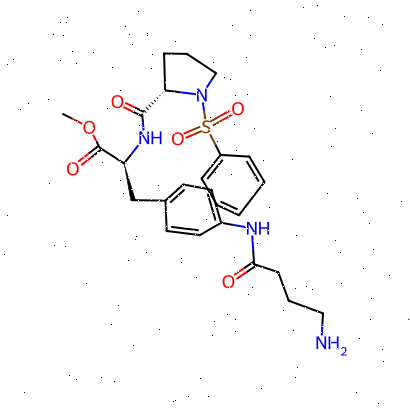 COC(=O)[C@H](Cc1ccc(NC(=O)CCCN)cc1)NC(=O)[C@@H]1CCCN1S(=O)(=O)c1ccccc1